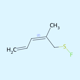 C=C/C=C(/C)CSF